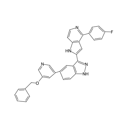 Fc1ccc(-c2nccc3[nH]c(-c4n[nH]c5ccc(-c6cncc(OCc7ccccc7)c6)cc45)cc23)cc1